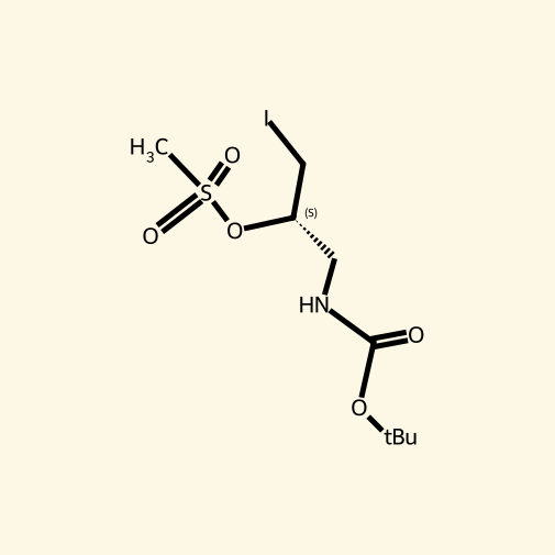 CC(C)(C)OC(=O)NC[C@@H](CI)OS(C)(=O)=O